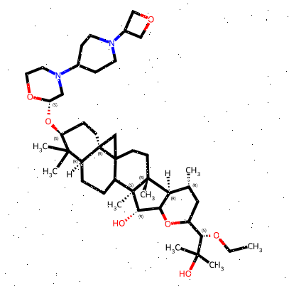 CCO[C@@H](C1C[C@@H](C)[C@H]2C(O1)[C@H](O)[C@@]1(C)C3CC[C@H]4C(C)(C)[C@@H](O[C@H]5CN(C6CCN(C7COC7)CC6)CCO5)CC[C@@]45CC35CC[C@]21C)C(C)(C)O